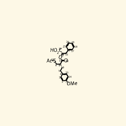 COc1ccc(CC[C@H](CSC(C)=O)C(=O)O[C@@H](Cc2ccccc2)C(=O)O)cc1